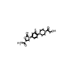 NC(=O)[C@H]1CN(c2ccc(N3CCN(C(=O)CO)CC3)c(F)c2)C(=O)O1